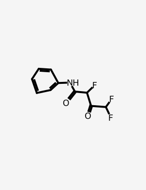 O=C(Nc1ccccc1)C(F)C(=O)C(F)F